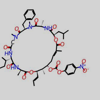 C/C=C/[C@H]1OC(=O)[C@@H](C)NC(=O)[C@H](C(C)CC)NC(=O)CN(C)C(=O)[C@@H](Cc2ccccc2)N(C)C(=O)[C@H](C)NC(=O)[C@@H](CC(C)C)OC(=O)/C(C)=C/C[C@H](OC(=O)Oc2ccc([N+](=O)[O-])cc2)[C@@H]1C